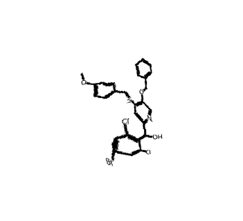 COc1ccc(CSc2cc(C(O)c3c(Cl)cc(Br)cc3Cl)ncc2OCc2ccccc2)cc1